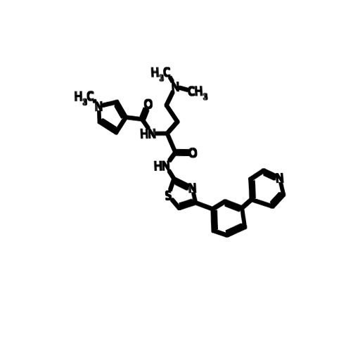 CN(C)CCC(NC(=O)c1ccn(C)c1)C(=O)Nc1nc(-c2cccc(-c3ccncc3)c2)cs1